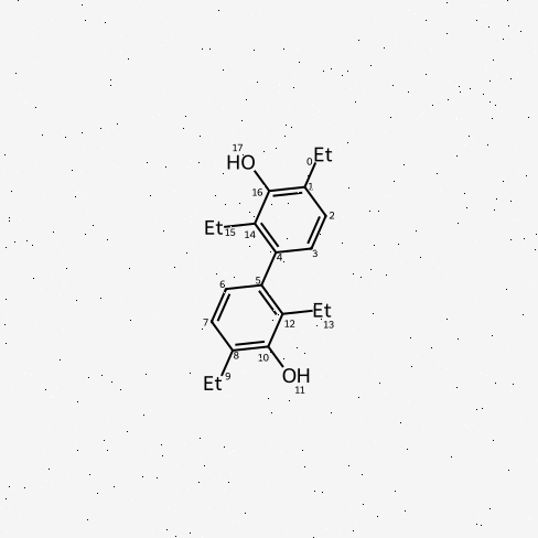 CCc1ccc(-c2ccc(CC)c(O)c2CC)c(CC)c1O